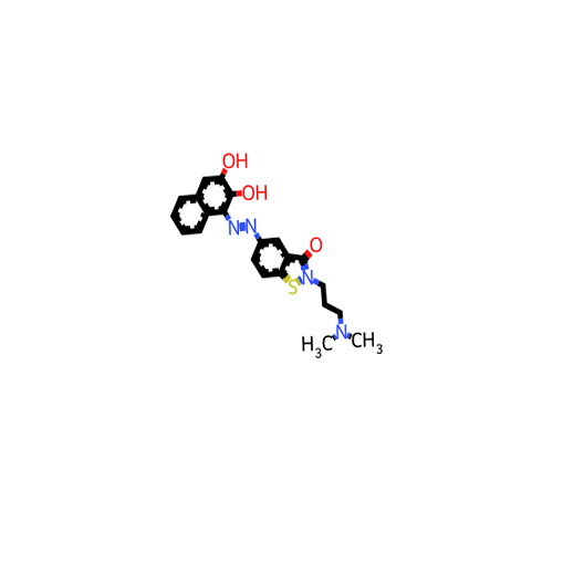 CN(C)CCCn1sc2ccc(N=Nc3c(O)c(O)cc4ccccc34)cc2c1=O